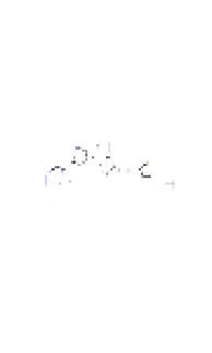 CC1=CC(OCc2csc(C)c2)=C(C)CN1c1ccnc(-c2ccnc(C(C)C)n2)c1